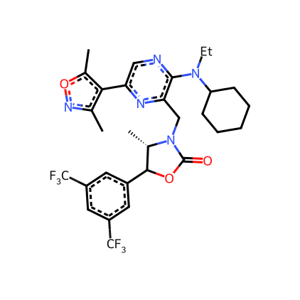 CCN(c1ncc(-c2c(C)noc2C)nc1CN1C(=O)OC(c2cc(C(F)(F)F)cc(C(F)(F)F)c2)[C@@H]1C)C1CCCCC1